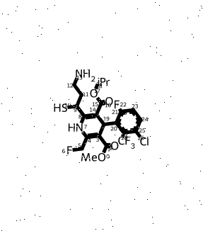 COC(=O)C1=C(CF)NC(C(S)CCN)=C(C(=O)OC(C)C)C1c1c(F)ccc(Cl)c1C(F)(F)F